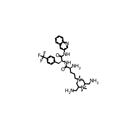 C[N+]1(CCC[C@H](N)C(=O)N[C@@H](Cc2ccc(C(F)(F)F)cc2)C(=O)Nc2cnc3ccccc3c2)CC(CN)[N+](C)(C)C(CN)C1